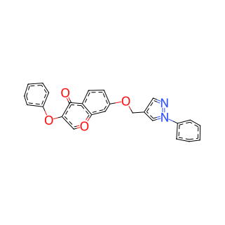 O=c1c(Oc2ccccc2)coc2cc(OCc3cnn(-c4ccccc4)c3)ccc12